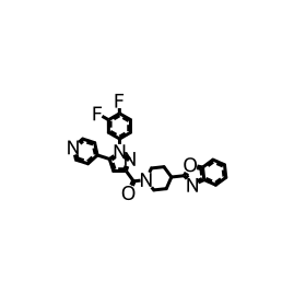 O=C(c1cc(-c2ccncc2)n(-c2ccc(F)c(F)c2)n1)N1CCC(c2nc3ccccc3o2)CC1